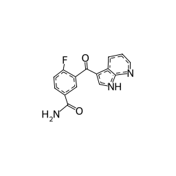 NC(=O)c1ccc(F)c(C(=O)c2c[nH]c3ncccc23)c1